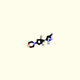 Ic1cc([C@H]2[C@@H]3CC(N4CCOCC4)C[C@@H]32)[nH]n1